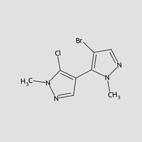 Cn1ncc(-c2c(Br)cnn2C)c1Cl